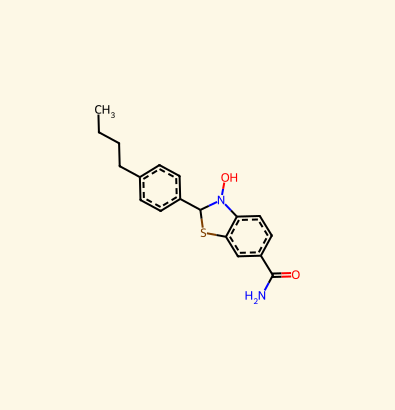 CCCCc1ccc(C2Sc3cc(C(N)=O)ccc3N2O)cc1